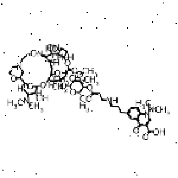 CO[C@]1(C)C[C@H](O[C@H]2[C@H](C)[C@H]3O[C@@H]4O[C@@H](C[C@H](N(C)C)[C@H]4O)C4CN(CCO/N=C(\[C@H](C)C[C@@]3(C)O)[C@@H](O)[C@@]3(O)CC[C@H]3OC(=O)[C@@H]2C)CCO4)O[C@@H](C)[C@@H]1OC(=O)CCNCCCc1ccc2c(c1)c(=O)c(C(=O)O)cn2N(C)C